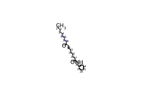 CCCCC/C=C/C=C/C(=O)CCCCCCCC(=O)NCc1ccccc1